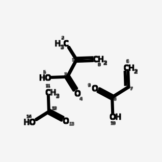 C=C(C)C(=O)O.C=CC(=O)O.CC(=O)O